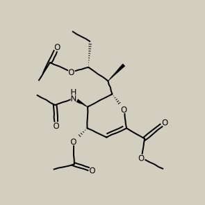 CC[C@@H](OC(C)=O)[C@@H](C)[C@@H]1OC(C(=O)OC)=C[C@H](OC(C)=O)[C@H]1NC(C)=O